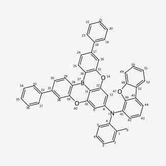 Cc1ccccc1N(c1cc2c3c(c1)Oc1cc(-c4ccccc4)ccc1B3c1ccc(-c3ccccc3)cc1O2)c1cccc2c1oc1ccccc12